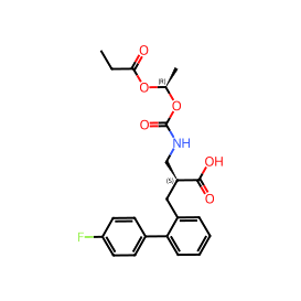 CCC(=O)O[C@@H](C)OC(=O)NC[C@H](Cc1ccccc1-c1ccc(F)cc1)C(=O)O